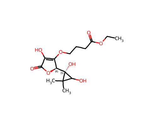 CCOC(=O)CCCOC1=C(O)C(=O)O[C@@H]1[C@@]1(O)C(O)C1(C)C